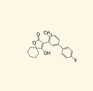 Cc1ccc(-c2ccc(F)cc2)cc1C1=C(O)C2(CCCCC2)OC1=O